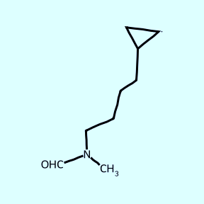 CN(C=O)CCCCC1[CH]C1